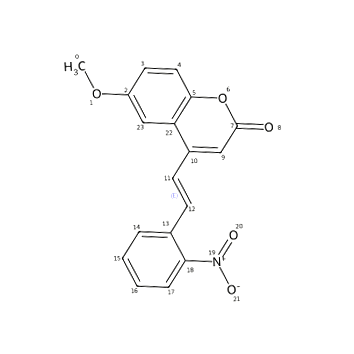 COc1ccc2oc(=O)cc(/C=C/c3ccccc3[N+](=O)[O-])c2c1